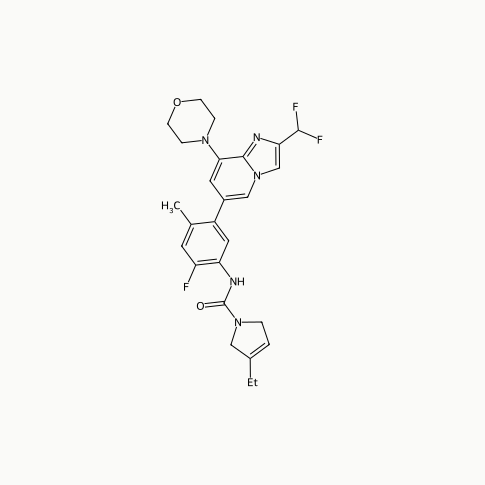 CCC1=CCN(C(=O)Nc2cc(-c3cc(N4CCOCC4)c4nc(C(F)F)cn4c3)c(C)cc2F)C1